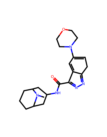 CN1C2CCCC1CC(NC(=O)C1=NN=C3CC=C(N4CCOCC4)C=C31)C2